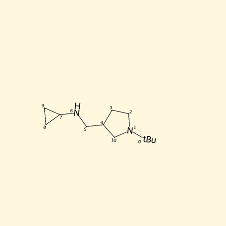 CC(C)(C)N1CCC(CNC2CC2)C1